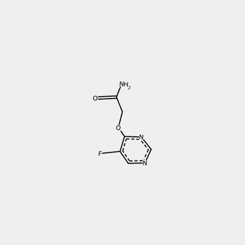 NC(=O)COc1ncncc1F